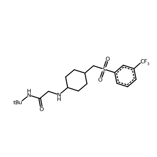 CC(C)(C)NC(=O)CNC1CCC(CS(=O)(=O)c2cccc(C(F)(F)F)c2)CC1